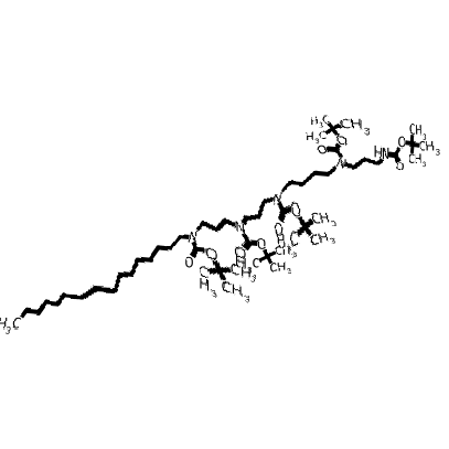 CCCCCCCCCCCCCCCCN(CCCN(CCCN(CCCCN(CCCNC(=O)OC(C)(C)C)C(=O)OC(C)(C)C)C(=O)OC(C)(C)C)C(=O)OC(C)(C)C)C(=O)OC(C)(C)C